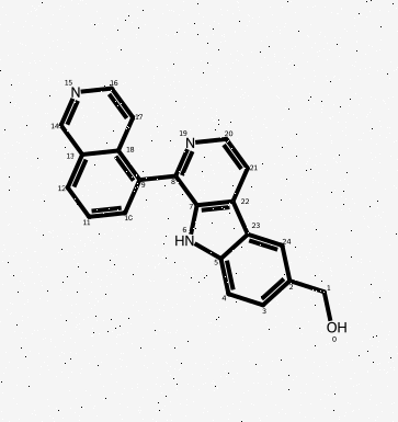 OCc1ccc2[nH]c3c(-c4cccc5cnccc45)nccc3c2c1